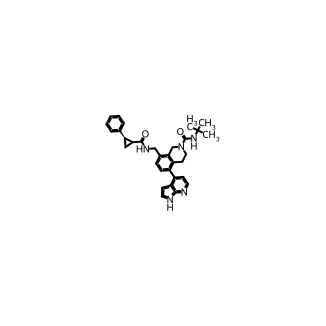 CC(C)(C)NC(=O)N1CCc2c(-c3ccnc4[nH]ccc34)ccc(CNC(=O)C3C[C@H]3c3ccccc3)c2C1